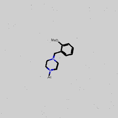 COc1ccccc1CN1CCN(C(C)=O)CC1